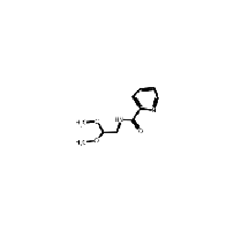 COC(CNC(=O)c1ccccn1)OC